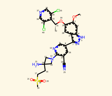 COc1cc2[nH]nc(-c3cnc(N4CC(N)(CCS(C)(=O)=O)C4)c(C#N)c3)c2cc1O[C@H](C)c1c(Cl)cncc1Cl